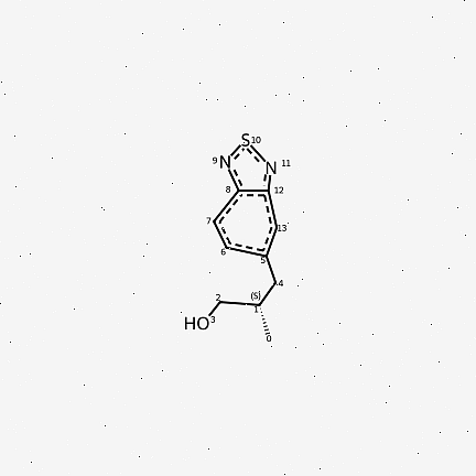 C[C@H](CO)Cc1ccc2nsnc2c1